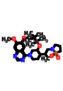 COc1cc2ncnc(N3CCC(C(C)CN4CCCS4(=O)=O)C(O[Si](C)(C)C(C)(C)C)C3)c2cc1OC